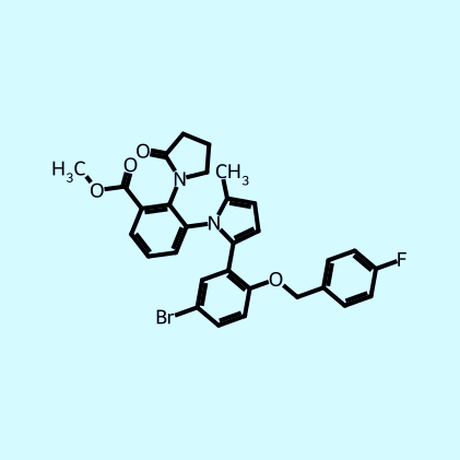 COC(=O)c1cccc(-n2c(C)ccc2-c2cc(Br)ccc2OCc2ccc(F)cc2)c1N1CCCC1=O